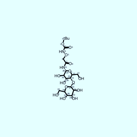 CC(C)(C)OC(=O)NOCC(=O)N[C@@H]1OC(CO)[C@@H](O[C@@H]2OC(CO)[C@H](O)[C@H](O)C2O)[C@H](O)C1O